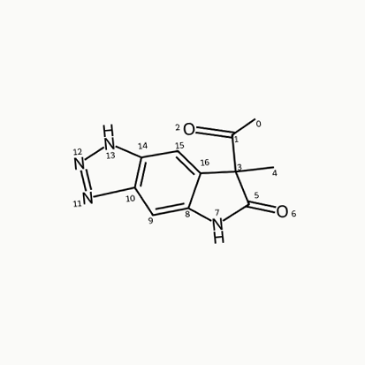 CC(=O)C1(C)C(=O)Nc2cc3nn[nH]c3cc21